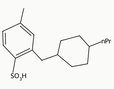 CCCC1CCC(Cc2cc(C)ccc2S(=O)(=O)O)CC1